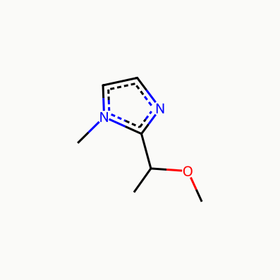 COC(C)c1nccn1C